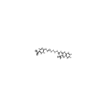 O=C(N(CCCCCCOCCc1ccc([N+](=O)[O-])cc1)Cc1ccccc1)C(F)(F)F